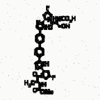 COC(=O)N[C@@H](C)C(=O)N1C[C@@H](F)C[C@H]1c1ncc(-c2ccc(-c3ccc(-c4cnc([C@@H]5C[C@H](F)CN5C(=O)[C@H](CO)NC(=O)O)[nH]4)cc3)cc2)[nH]1